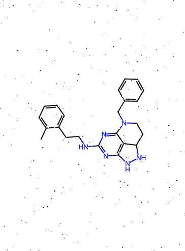 Cc1ccccc1CCNc1nc2c3c(n1)N(Cc1ccccc1)CCC3NN2